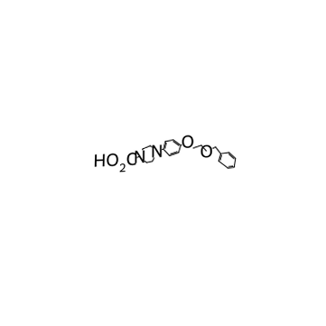 O=C(O)N1CCN(c2ccc(OCCOCc3ccccc3)cc2)CC1